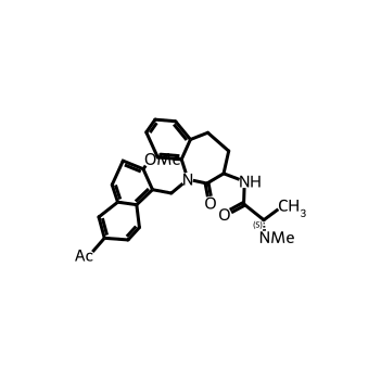 CN[C@@H](C)C(=O)NC1CCc2ccccc2N(Cc2c(OC)ccc3cc(C(C)=O)ccc23)C1=O